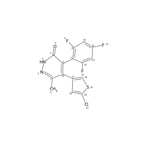 Cc1n[nH]c(=O)c(-c2c(F)cc(F)cc2F)c1-c1csc(Cl)c1